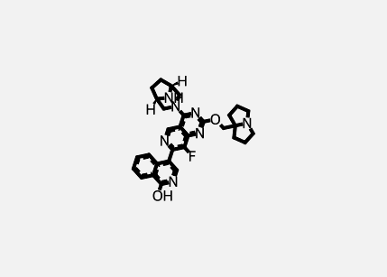 Oc1ncc(-c2ncc3c(N4C[C@H]5CC[C@@H](C4)N5)nc(OCC45CCCN4CCC5)nc3c2F)c2ccccc12